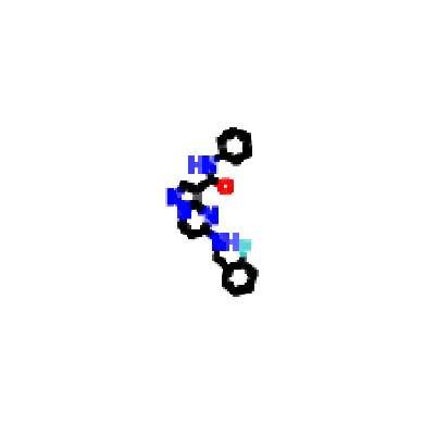 O=C(Nc1ccccc1)c1cnn2ccc(NCc3ccccc3F)nc12